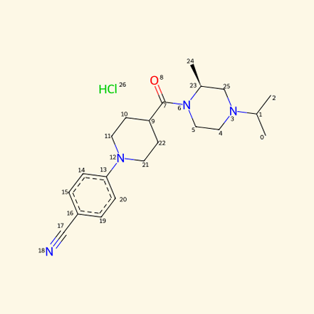 CC(C)N1CCN(C(=O)C2CCN(c3ccc(C#N)cc3)CC2)[C@@H](C)C1.Cl